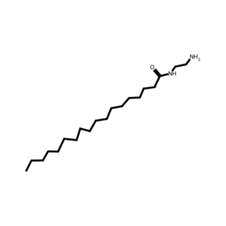 CCCCCCCCCCCCCCCC[CH]C(=O)NCCN